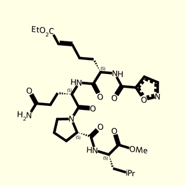 CCOC(=O)C=CCC[C@H](NC(=O)c1ccno1)C(=O)N[C@@H](CCC(N)=O)C(=O)N1CCC[C@H]1C(=O)N[C@@H](CC(C)C)C(=O)OC